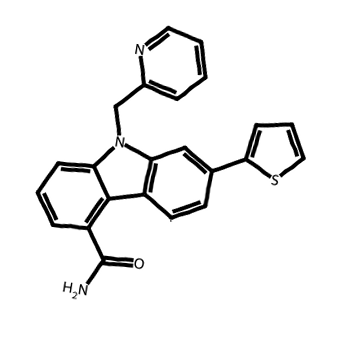 NC(=O)c1cccc2c1c1[c]cc(-c3cccs3)cc1n2Cc1ccccn1